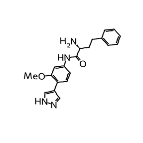 COc1cc(NC(=O)[C@@H](N)CCc2ccccc2)ccc1-c1cn[nH]c1